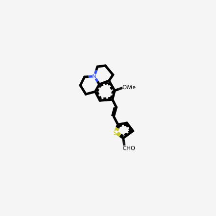 COc1c(C=Cc2ccc(C=O)s2)cc2c3c1CCCN3CCC2